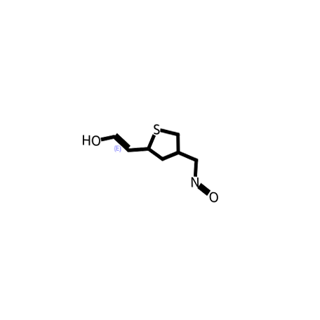 O=NCC1CSC(/C=C/O)C1